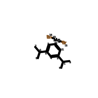 CC(C)c1[c]c(C(C)C)ccc1.[Br][Mg][Br]